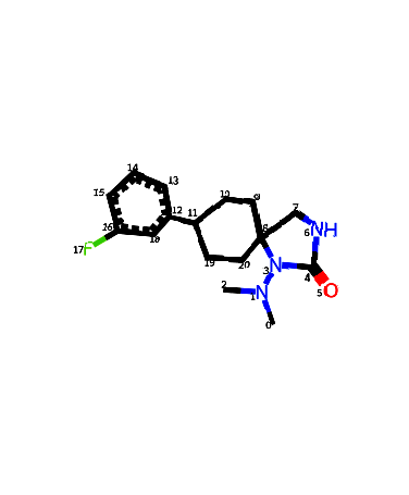 CN(C)N1C(=O)NCC12CCC(c1cccc(F)c1)CC2